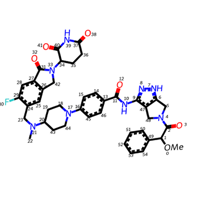 COC(C(=O)N1Cc2[nH]nc(NC(=O)c3ccc(N4CCC(N(C)Cc5cc6c(cc5F)C(=O)N(C5CCC(=O)NC5=O)C6)CC4)cc3)c2C1)c1ccccc1